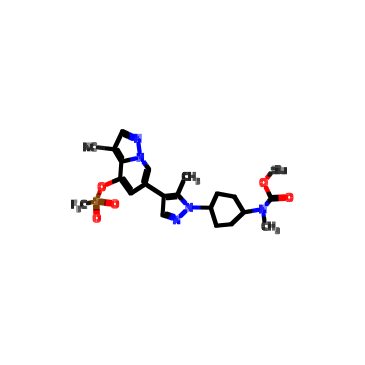 Cc1c(-c2cc(OS(=O)(=O)C(F)(F)F)c3c(C#N)cnn3c2)cnn1C1CCC(N(C)C(=O)OC(C)(C)C)CC1